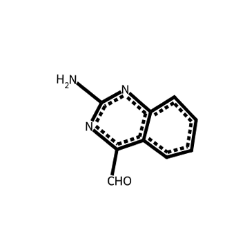 Nc1nc(C=O)c2ccccc2n1